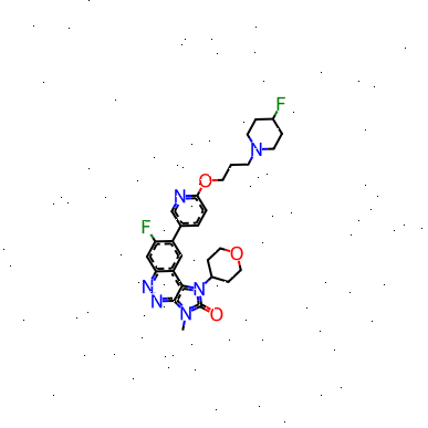 Cn1c(=O)n(C2CCOCC2)c2c3cc(-c4ccc(OCCCN5CCC(F)CC5)nc4)c(F)cc3nnc21